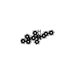 c1ccc(C2=NC(c3ccccc3-c3cccc(-n4c5ccccc5c5c(-c6ccccc6)cccc54)c3)NC(c3ccc4cc(-c5ccccc5)ccc4c3)=N2)cc1